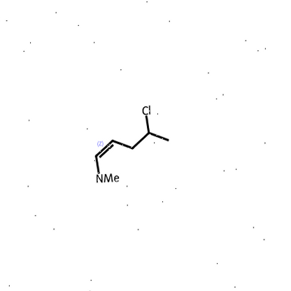 CN/C=C\CC(C)Cl